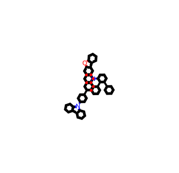 c1ccc(-c2ccccc2-c2c(-c3ccccc3)cccc2N(c2ccc(-c3ccc(-n4c5ccccc5c5ccccc54)cc3)cc2)c2ccc3oc4ccccc4c3c2)cc1